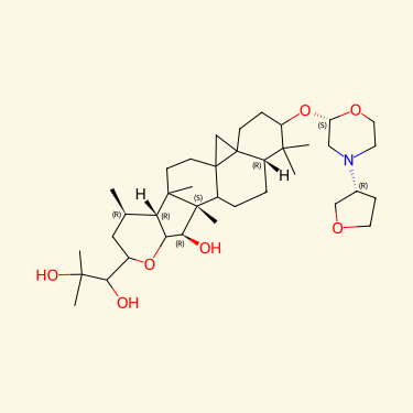 C[C@@H]1CC(C(O)C(C)(C)O)OC2[C@H]1C1(C)CCC34CC35CCC(O[C@H]3CN([C@@H]6CCOC6)CCO3)C(C)(C)[C@@H]5CCC4[C@]1(C)[C@H]2O